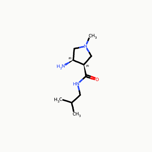 CC(C)CNC(=O)[C@@H]1CN(C)C[C@@H]1N